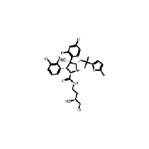 Cc1ccc(C(C)(C)C[C@@H]2N[C@@H](C(=O)NCC[C@H](O)CO)[C@H](c3cccc(Cl)c3F)[C@@]2(C#N)c2ccc(Cl)cc2F)o1